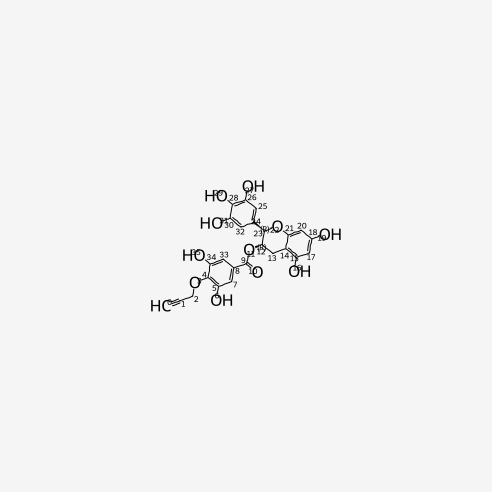 C#CCOc1c(O)cc(C(=O)O[C@@H]2Cc3c(O)cc(O)cc3O[C@@H]2c2cc(O)c(O)c(O)c2)cc1O